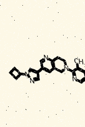 Cc1cccnc1N1CCc2ncc(-c3cnn(C4CCC4)c3)cc2C1